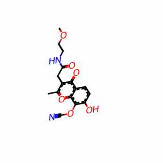 COCCNC(=O)Cc1c(C)oc2c(OC#N)c(O)ccc2c1=O